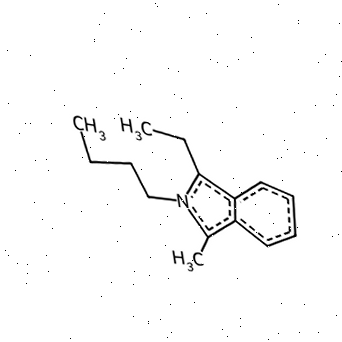 CCCCn1c(C)c2ccccc2c1CC